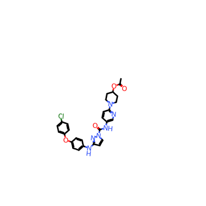 CC(=O)OC1CCN(c2ccc(NC(=O)n3ccc(Nc4ccc(Oc5ccc(Cl)cc5)cc4)n3)cn2)CC1